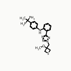 COC1(Cn2nnc(-c3ccccc3Nc3ccc(C(C)(P)P)cc3)n2)CSC1